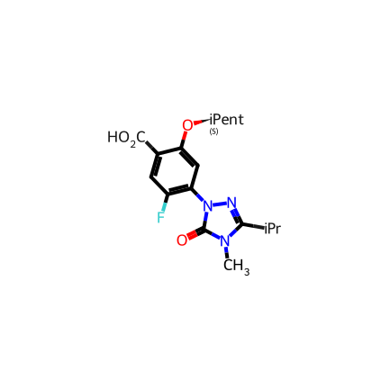 CCC[C@H](C)Oc1cc(-n2nc(C(C)C)n(C)c2=O)c(F)cc1C(=O)O